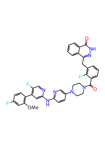 COc1cc(F)ccc1-c1cc(Nc2ccc(N3CCN(C(=O)c4cccc(Cc5n[nH]c(=O)c6ccccc56)c4F)CC3)cn2)ncc1F